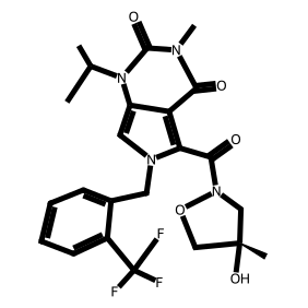 CC(C)n1c(=O)n(C)c(=O)c2c(C(=O)N3C[C@](C)(O)CO3)n(Cc3ccccc3C(F)(F)F)cc21